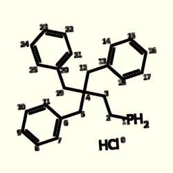 Cl.PCCC(Cc1ccccc1)(Cc1ccccc1)Cc1ccccc1